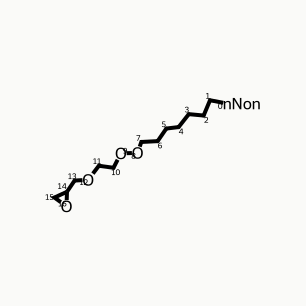 CCCCCCCCCCCCCCCCOOCCOCC1CO1